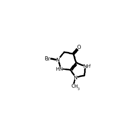 CN1CNC2=C1NN(Br)CC2=O